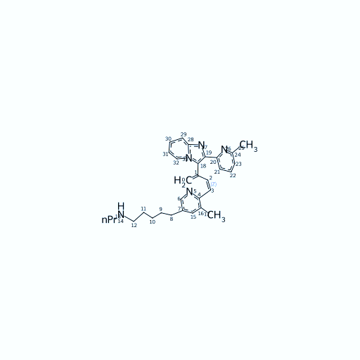 C=C(/C=C\c1ncc(CCCCCNCCC)cc1C)c1c(-c2cccc(C)n2)nc2ccccn12